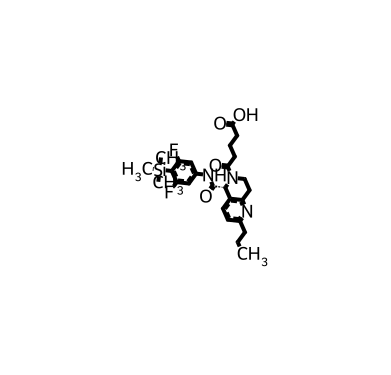 CCCc1ccc2c(n1)CCN(C(=O)CCCC(=O)O)[C@H]2C(=O)Nc1cc(F)c([Si](C)(C)C)c(F)c1